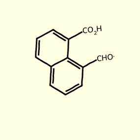 O=[C]c1cccc2cccc(C(=O)O)c12